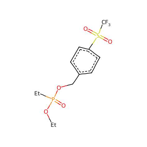 CCOP(=O)(CC)OCc1ccc(S(=O)(=O)C(F)(F)F)cc1